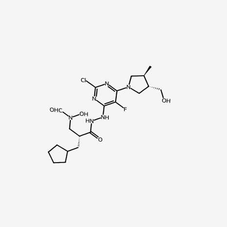 C[C@@H]1CN(c2nc(Cl)nc(NNC(=O)[C@H](CC3CCCC3)CN(O)C=O)c2F)C[C@H]1CO